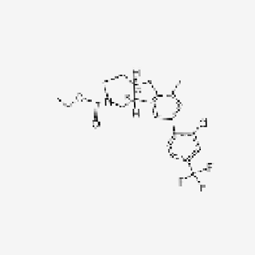 CCOC(=O)N1CC[C@@H]2Cc3c(C)cc(-c4ccc(C(F)(F)F)cc4Cl)cc3[C@@H]2C1